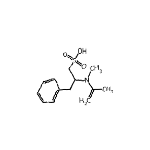 C=C(C)N(C)C(Cc1ccccc1)CS(=O)(=O)O